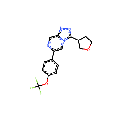 FC(F)(F)Oc1ccc(-c2cn3c(C4CCOC4)nnc3cn2)cc1